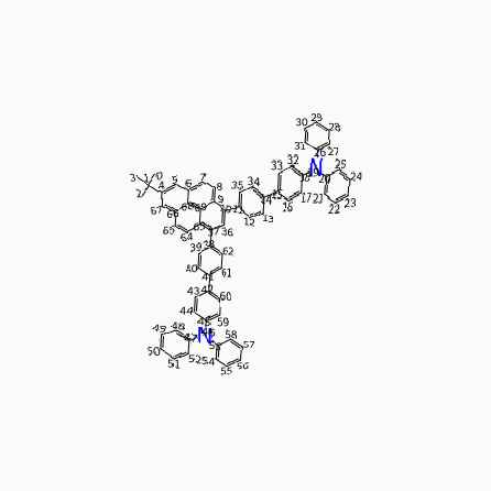 CC(C)(C)c1cc2ccc3c(-c4ccc(-c5ccc(N(c6ccccc6)c6ccccc6)cc5)cc4)cc(-c4ccc(-c5ccc(N(c6ccccc6)c6ccccc6)cc5)cc4)c4ccc(c1)c2c34